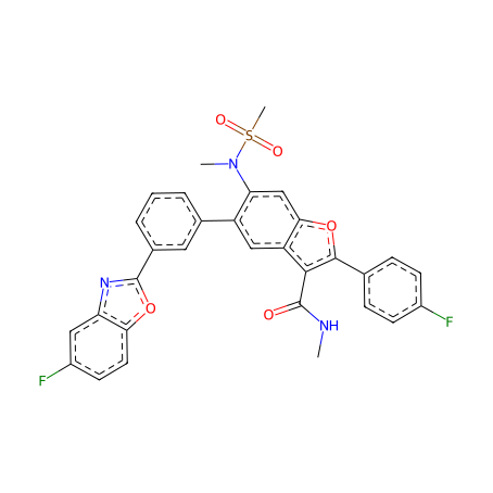 CNC(=O)c1c(-c2ccc(F)cc2)oc2cc(N(C)S(C)(=O)=O)c(-c3cccc(-c4nc5cc(F)ccc5o4)c3)cc12